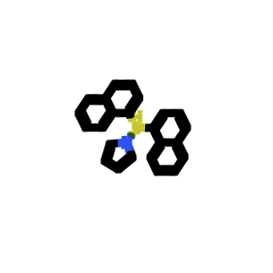 c1ccc2c([SH](c3cccc4ccccc34)n3cccc3)cccc2c1